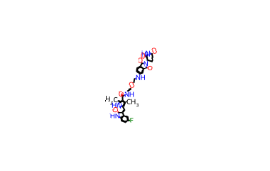 Cc1[nH]c(C=C2C(=O)Nc3ccc(F)cc32)c(C)c1C(=O)NCCOCCNc1ccc2c(c1)C(=O)N(C1CCC(=O)NC1=O)C2=O